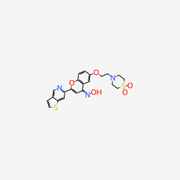 O=S1(=O)CCN(CCOc2ccc3oc(-c4cc5sccc5cn4)c/c(=N/O)c3c2)CC1